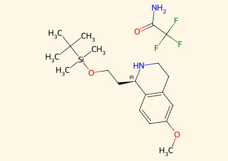 COc1ccc2c(c1)CCN[C@@H]2CCO[Si](C)(C)C(C)(C)C.NC(=O)C(F)(F)F